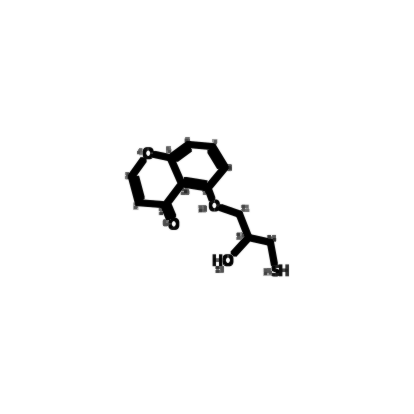 O=c1ccoc2cccc(OCC(O)CS)c12